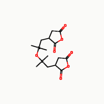 C[Si](C)(CC1CC(=O)OC1=O)O[Si](C)(C)CC1CC(=O)OC1=O